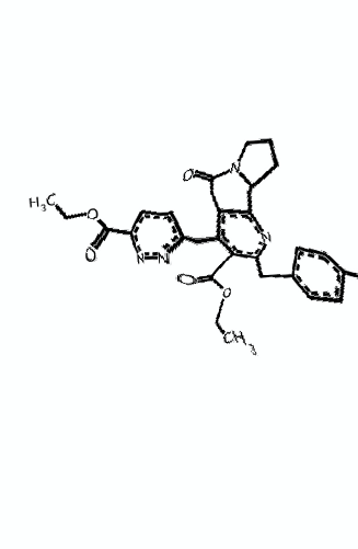 CCOC(=O)c1ccc(-c2c(C(=O)OCC)c(Cc3ccc(F)cc3)nc3c2C(=O)N2CCCC32)nn1